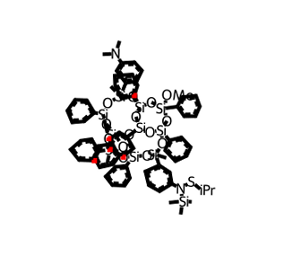 CO[Si]1(c2ccccc2)O[Si]2(c3ccccc3)O[Si](C)(c3cccc(N(C)C)c3)O[Si]3(c4ccccc4)O[Si](C)(c4ccccc4)O[Si]4(c5ccccc5)O[Si](C)(c5cccc(N(SC(C)C)[Si](C)(C)C)c5)O[Si](c5ccccc5)(O1)O[Si](c1ccccc1)(O2)O[Si](c1ccccc1)(O3)O4